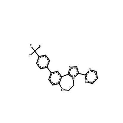 FC(F)(F)c1ccc(-c2ccc3c(c2)-c2ncc(-c4ncccn4)n2CCO3)cc1